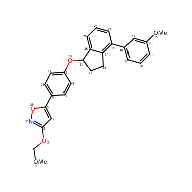 COCOc1cc(-c2ccc(OC3CCc4c(-c5cccc(OC)c5)cccc43)cc2)on1